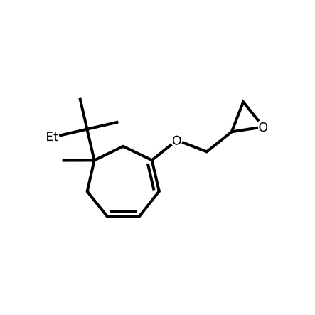 CCC(C)(C)C1(C)CC=CC=C(OCC2CO2)C1